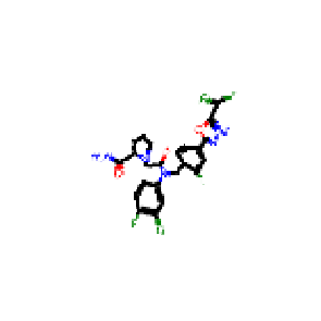 NC(=O)C1CCCN1CC(=O)N(Cc1ccc(-c2nnc(C(F)F)o2)cc1F)c1ccc(F)c(Cl)c1